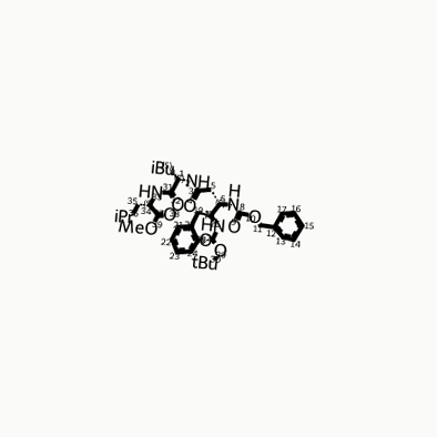 CC[C@H](C)[C@H](NC(=O)C[C@H](NC(=O)OCc1ccccc1)[C@H](Cc1ccccc1)NC(=O)OC(C)(C)C)C(=O)N[C@@H](CC(C)C)C(=O)OC